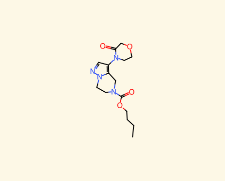 CCCCOC(=O)N1CCn2ncc(N3CCOCC3=O)c2C1